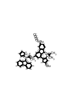 C[C](C)=[Zr+4][CH]1c2ccc(C(C)(C)C)cc2-c2cc(C(C)(C)C)cc(C3=C(C)C=C(C(C)(C)C)C3)c21.C[C](C)=[Zr]([C]1=CC=CC1)[CH]1c2ccccc2-c2ccccc21.[Cl-].[Cl-].[Cl-].[Cl-]